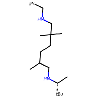 CC(C)CNCC(C)(C)CCC(C)CN[C@H](C)C(C)(C)C